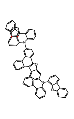 c1ccc(-c2ccccc2N(c2ccc3c(c2)oc2c4ccc(N(c5ccccc5-c5ccccc5)c5cccc6c5oc5ccccc56)cc4c4ccccc4c32)c2cccc3c2oc2ccccc23)cc1